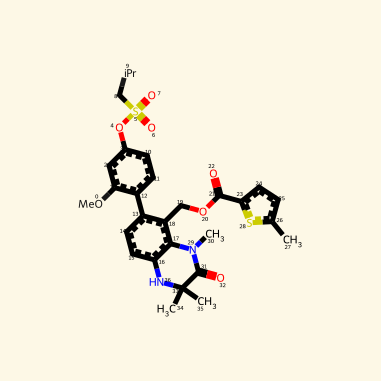 COc1cc(OS(=O)(=O)CC(C)C)ccc1-c1ccc2c(c1COC(=O)c1ccc(C)s1)N(C)C(=O)C(C)(C)N2